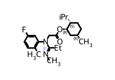 CC/C(=N\C)N(CC(=O)O[C@@H]1C[C@H](C)CC[C@H]1C(C)C)c1cc(F)ccc1C